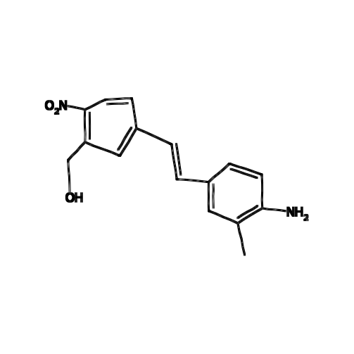 Cc1cc(C=Cc2ccc([N+](=O)[O-])c(CO)c2)ccc1N